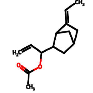 C=CC(OC(C)=O)C1CC2CC(=CC)C1C2